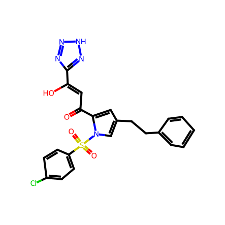 O=C(C=C(O)c1nn[nH]n1)c1cc(CCc2ccccc2)cn1S(=O)(=O)c1ccc(Cl)cc1